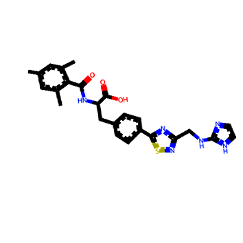 Cc1cc(C)c(C(=O)NC(Cc2ccc(-c3nc(CNc4ncc[nH]4)ns3)cc2)C(=O)O)c(C)c1